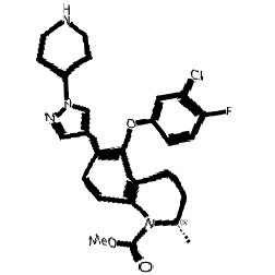 COC(=O)N1c2ccc(-c3cnn(C4CCNCC4)c3)c(Oc3ccc(F)c(Cl)c3)c2CC[C@@H]1C